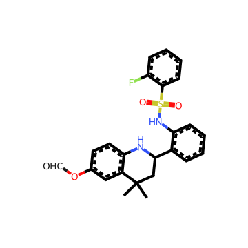 CC1(C)CC(c2ccccc2NS(=O)(=O)c2ccccc2F)Nc2ccc(OC=O)cc21